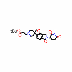 CC(C)(C)OC(=O)CCN1CCC2(CC1)COc1c2ccc2c1CN([C@H]1CCC(=O)NC1=O)C2=O